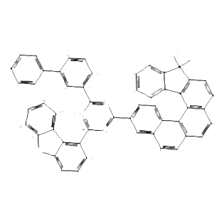 CC1(C)c2ccccc2-c2c1ccc1ccc3ccc4cc(-c5nc(-c6cccc(-c7ccccc7)c6)nc(-c6cccc7oc8ccccc8c67)n5)ccc4c3c21